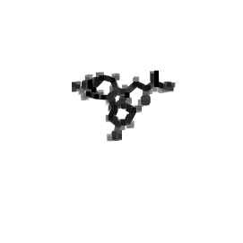 CC(C)NC(=O)Cn1c2c(c3cc(Cl)ccc31)C1CCC(C2)N1C